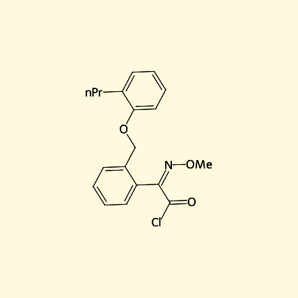 CCCc1ccccc1OCc1ccccc1C(=NOC)C(=O)Cl